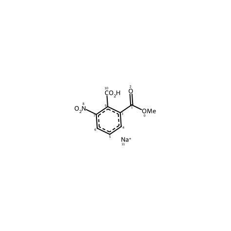 COC(=O)c1cccc([N+](=O)[O-])c1C(=O)O.[Na+]